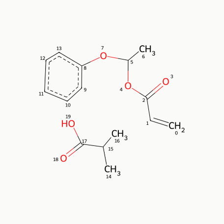 C=CC(=O)OC(C)Oc1ccccc1.CC(C)C(=O)O